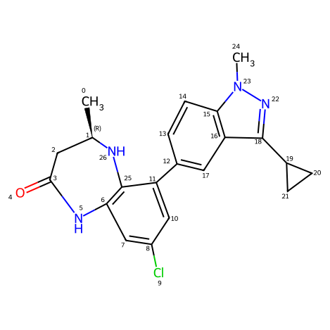 C[C@@H]1CC(=O)Nc2cc(Cl)cc(-c3ccc4c(c3)c(C3CC3)nn4C)c2N1